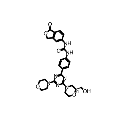 O=C(Nc1ccc(-c2nc(N3CCOCC3)nc(N3CCO[C@H](CO)C3)n2)cc1)Nc1ccc2c(c1)COC2=O